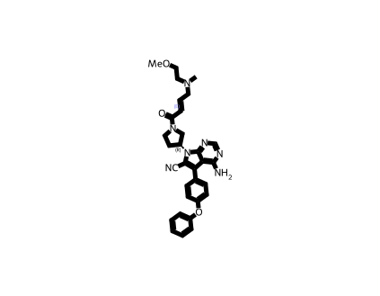 COCCN(C)C/C=C/C(=O)N1CC[C@@H](n2c(C#N)c(-c3ccc(Oc4ccccc4)cc3)c3c(N)ncnc32)C1